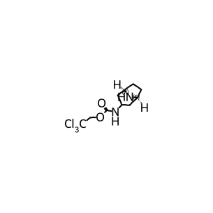 O=C(NC1C[C@H]2CC[C@@H](C1)N2)OCC(Cl)(Cl)Cl